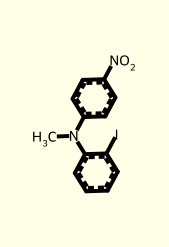 CN(c1ccc([N+](=O)[O-])cc1)c1ccccc1I